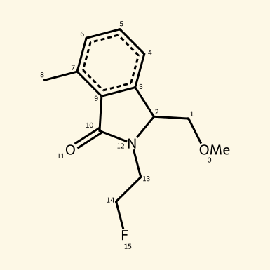 COCC1c2cccc(C)c2C(=O)N1CCF